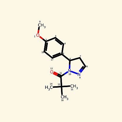 COc1ccc(C2CC=NN2C(=O)C(C)(C)C)cc1